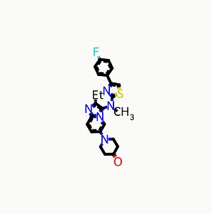 CCc1nc2ccc(N3CCC(=O)CC3)cn2c1N(C)c1nc(-c2ccc(F)cc2)cs1